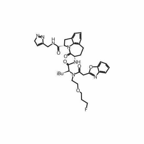 CC[C@H](C)[C@@H](C(=O)N[C@H]1CCc2cccc3c2N(C1=O)[C@H](C(=O)NCC1=CCN=N1)C3)N(CCOCCCF)C(=O)Cc1nc2ccccc2o1